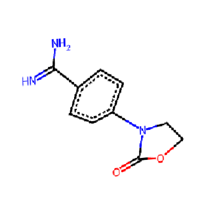 N=C(N)c1ccc(N2CCOC2=O)cc1